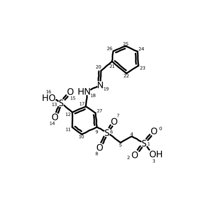 O=S(=O)(O)CCS(=O)(=O)c1ccc(S(=O)(=O)O)c(NN=Cc2ccccc2)c1